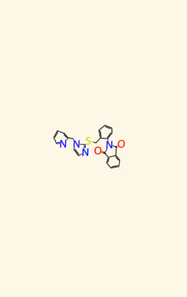 O=C1c2ccccc2C(=O)N1c1ccccc1CSc1nccn1Cc1ccccn1